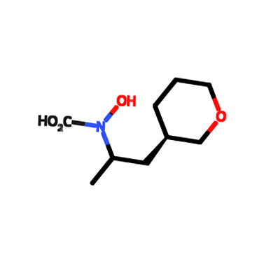 CC(C[C@H]1CCCOC1)N(O)C(=O)O